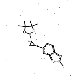 Cc1nc2ccc(C3C[C@@H]3B3OC(C)(C)C(C)(C)O3)cc2s1